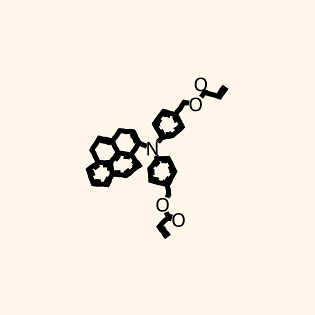 C=CC(=O)OCc1ccc(N(C2=CCC3=CCc4cccc5ccc2c3c45)c2ccc(COC(=O)C=C)cc2)cc1